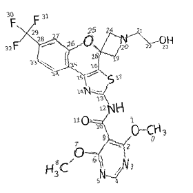 COc1ncnc(OC)c1C(=O)Nc1nc2c(s1)C1(CN(CCO)C1)Oc1cc(C(F)(F)F)ccc1-2